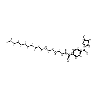 CSCCCOCCOCCOCCOCCNC(=O)c1ccc(C(C)n2cc(C)cn2)cc1